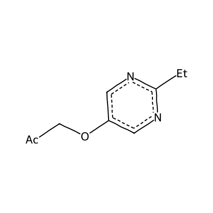 CCc1ncc(OCC(C)=O)cn1